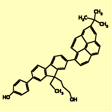 CCC1(CCCO)c2cc(-c3ccc(O)cc3)ccc2-c2ccc(-c3ccc4ccc5cc(C(C)(C)C)cc6ccc3c4c56)cc21